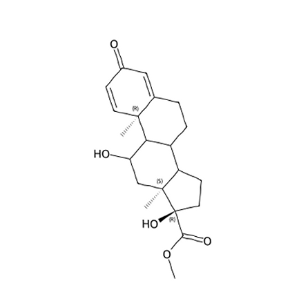 COC(=O)[C@@]1(O)CCC2C3CCC4=CC(=O)C=C[C@]4(C)C3C(O)C[C@@]21C